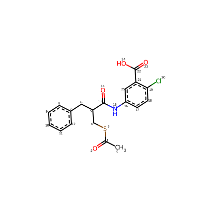 CC(=O)SCC(Cc1ccccc1)C(=O)Nc1ccc(Cl)c(C(=O)O)c1